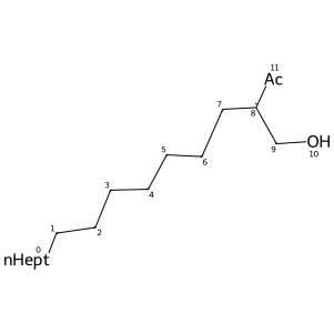 CCCCCCCCCCCCCC[C](CO)C(C)=O